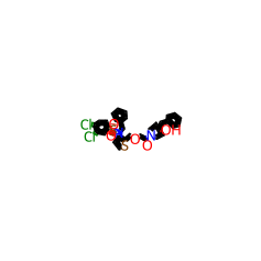 O=C(COCc1sccc1N(Cc1ccccc1)S(=O)(=O)c1ccc(Cl)c(Cl)c1)N1CCC(O)(Cc2ccccc2)CC1